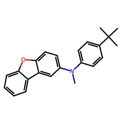 CN(c1ccc(C(C)(C)C)cc1)c1ccc2oc3ccccc3c2c1